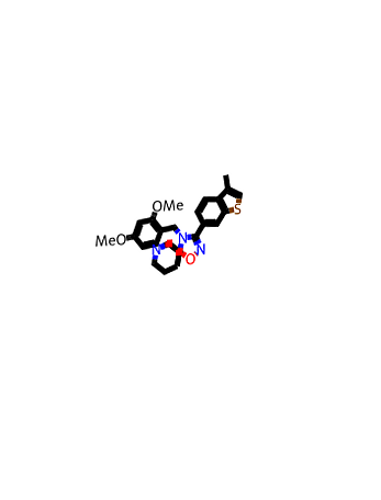 COc1ccc(CN2C(c3ccc4c(C)csc4c3)=NOC23CN2CCC3CC2)c(OC)c1